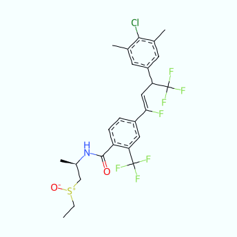 CC[S+]([O-])C[C@@H](C)NC(=O)c1ccc(/C(F)=C/C(c2cc(C)c(Cl)c(C)c2)C(F)(F)F)cc1C(F)(F)F